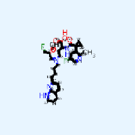 COC(CF)CN(CCCCc1ccc2c(n1)NCCC2)CCC(NC(=O)C1(c2cc(F)cnc2C)CC1)C(=O)O